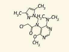 COc1ncnc(N(C)C)c1N(Cn1nc(C)cc1C)C(=O)CCl